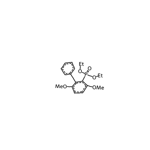 CCOP(=O)(OCC)c1c(OC)ccc(OC)c1-c1ccccc1